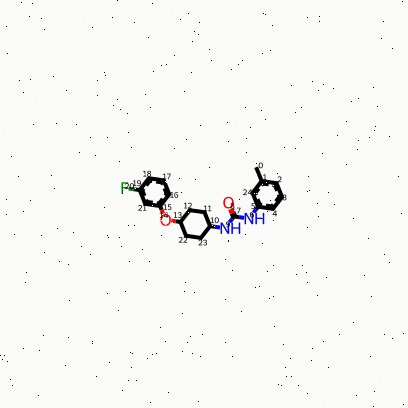 Cc1cccc(NC(=O)NC2CCC(Oc3cccc(F)c3)CC2)c1